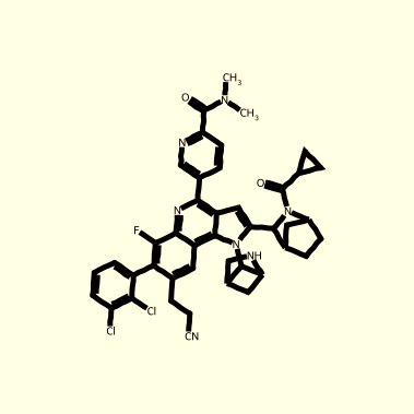 CN(C)C(=O)c1ccc(-c2nc3c(F)c(-c4cccc(Cl)c4Cl)c(CCC#N)cc3c3c2cc(C2C4CCC(C4)N2C(=O)C2CC2)n3C2C3CNC2C3)cn1